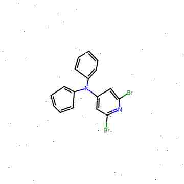 Brc1cc(N(c2ccccc2)c2ccccc2)cc(Br)n1